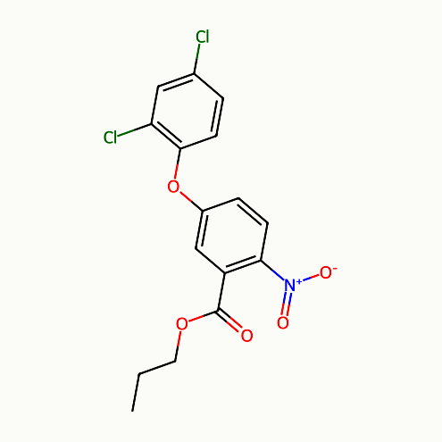 CCCOC(=O)c1cc(Oc2ccc(Cl)cc2Cl)ccc1[N+](=O)[O-]